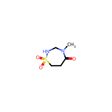 CN1CNS(=O)(=O)CCC1=O